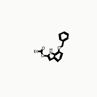 CCC(=O)Oc1cc2cccc(OCc3ccccc3)c2[nH]1